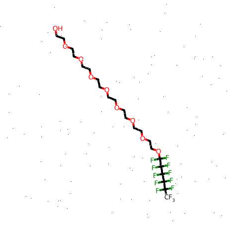 OCCOCCOCCOCCOCCOCCOCCOCCOC(F)(F)C(F)(F)C(F)(F)C(F)(F)C(F)(F)C(F)(F)F